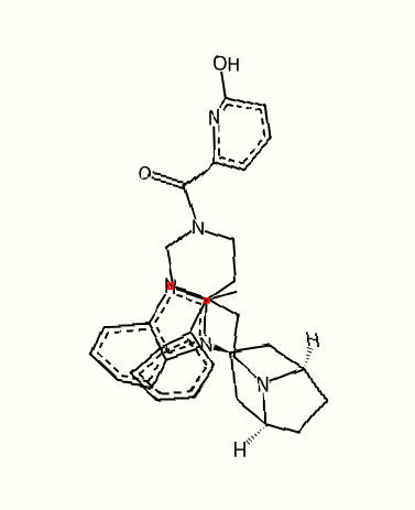 Cc1nc2ccccc2n1[C@H]1C[C@H]2CC[C@@H](C1)N2CCC1(c2ccccc2)CCN(C(=O)c2cccc(O)n2)CC1